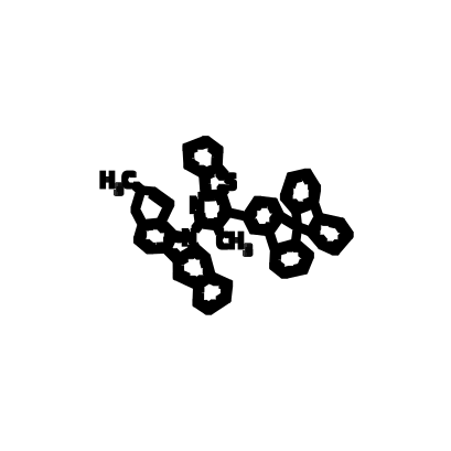 Cc1c(-n2c3cc4ccccc4cc3c3ccc4c(c32)C=CC(C)C4)nc2c(sc3ccccc32)c1-c1ccc2c(c1)-c1ccccc1C21c2ccccc2-c2ccccc21